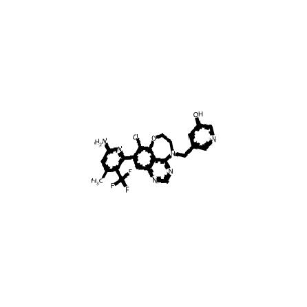 Cc1cc(N)nc(-c2cc3ncnc4c3c(c2Cl)OCCN4Cc2cncc(O)c2)c1C(F)(F)F